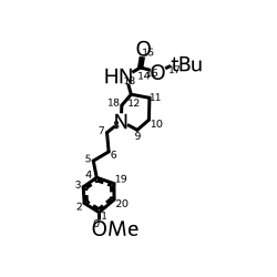 COc1ccc(CCCN2CCCC(NC(=O)OC(C)(C)C)C2)cc1